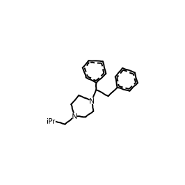 CC(C)CN1CCN(C(Cc2ccccc2)c2ccccc2)CC1